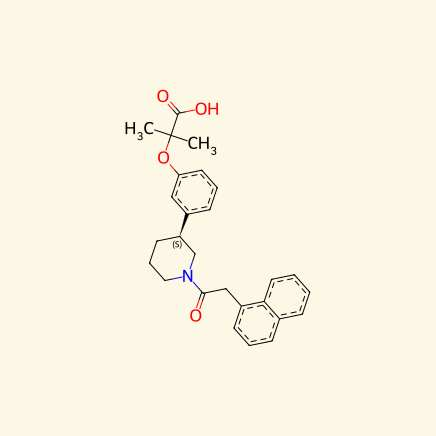 CC(C)(Oc1cccc([C@@H]2CCCN(C(=O)Cc3cccc4ccccc34)C2)c1)C(=O)O